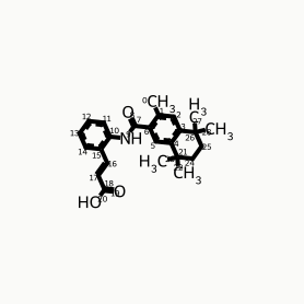 Cc1cc2c(cc1C(=O)Nc1ccccc1/C=C/C(=O)O)C(C)(C)CCC2(C)C